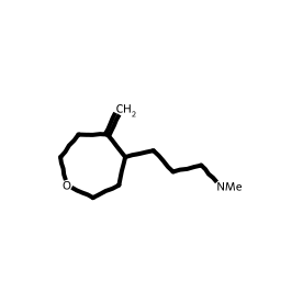 C=C1CCOCCC1CCCNC